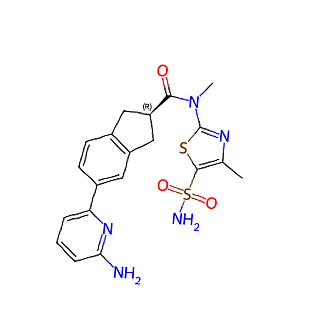 Cc1nc(N(C)C(=O)[C@@H]2Cc3ccc(-c4cccc(N)n4)cc3C2)sc1S(N)(=O)=O